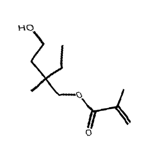 C=C(C)C(=O)OCC(C)(CC)CCO